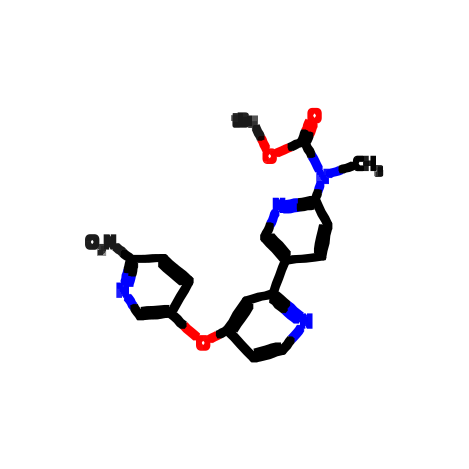 CN(C(=O)OC(C)(C)C)c1ccc(-c2cc(Oc3ccc([N+](=O)[O-])nc3)ccn2)cn1